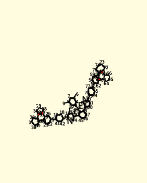 CCC(CC)(c1cc(C)cc(C)c1)c1c(-c2ccc(-c3ccc(-c4ccc5c(c4)C46CCCC4(CCC6)c4ccccc4-5)cc3)nc2)cccc1-c1ccc(-c2ccc(-c3ccc4c(c3)C35CCCC3(CCC5)c3ccccc3-4)cc2)nc1